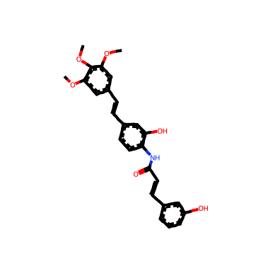 COc1cc(/C=C/c2ccc(NC(=O)/C=C/c3cccc(O)c3)c(O)c2)cc(OC)c1OC